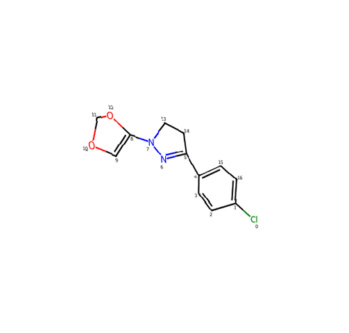 Clc1ccc(C2=NN(C3=COCO3)CC2)cc1